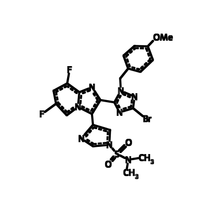 COc1ccc(Cn2nc(Br)nc2-c2nc3c(F)cc(F)cn3c2-c2cn(S(=O)(=O)N(C)C)cn2)cc1